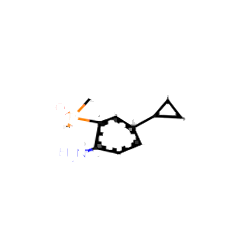 CP(C)(=O)c1cc(C2CC2)ccc1N